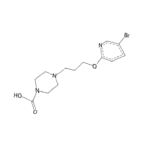 O=C(O)N1CCN(CCCOc2ccc(Br)cn2)CC1